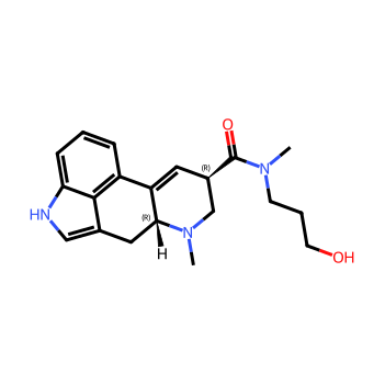 CN(CCCO)C(=O)[C@@H]1C=C2c3cccc4[nH]cc(c34)C[C@H]2N(C)C1